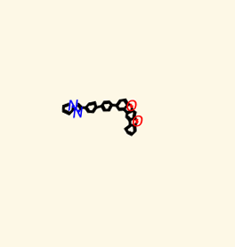 c1ccc2c(c1)oc1cc3oc4ccc(-c5ccc(-c6ccc(-c7cn8ccccc8n7)cc6)cc5)cc4c3cc12